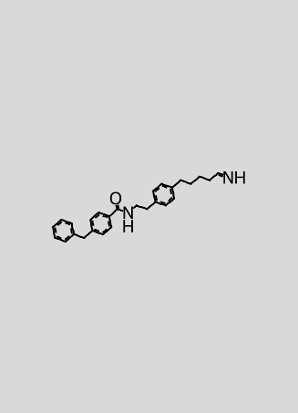 N=CCCCCc1ccc(CCNC(=O)c2ccc(Cc3ccccc3)cc2)cc1